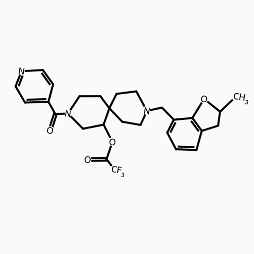 CC1Cc2cccc(CN3CCC4(CC3)CCN(C(=O)c3ccncc3)CC4OC(=O)C(F)(F)F)c2O1